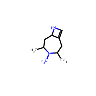 CC1CC2=CNC2CC(C)N1N